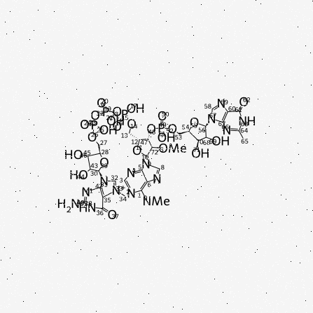 CNc1ncnc2c1ncn2[C@@H]1O[C@H](COP(=O)(O)OP(=O)(O)OP(=O)(O)OC[C@H]2O[C@@H](n3c[n+](C)c4c(=O)[nH]c(N)nc43)C(O)C2O)[C@H](OP(=O)(O)OC[C@H]2O[C@@H](n3cnc4c(=O)[nH]c(C)nc43)C(O)[C@H]2O)C1OC